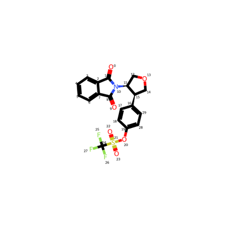 O=C1c2ccccc2C(=O)N1[C@H]1COC[C@H]1c1ccc(OS(=O)(=O)C(F)(F)F)cc1